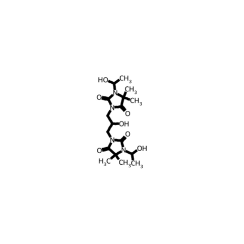 CC(O)N1C(=O)N(CC(O)CN2C(=O)N(C(C)O)C(C)(C)C2=O)C(=O)C1(C)C